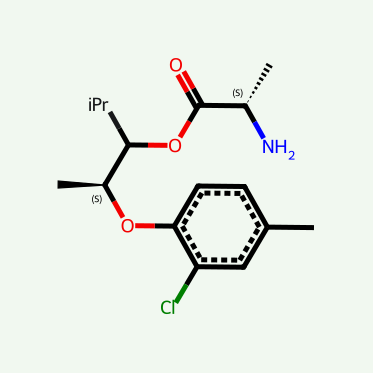 Cc1ccc(O[C@@H](C)C(OC(=O)[C@H](C)N)C(C)C)c(Cl)c1